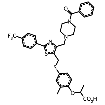 Cc1cc(SCc2sc(-c3ccc(C(F)(F)F)cc3)nc2CN2CCN(C(=O)c3ccccc3)CC2)ccc1OC(C)C(=O)O